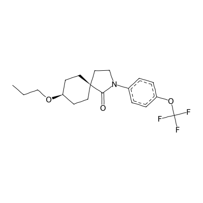 CCCO[C@H]1CC[C@]2(CCN(c3ccc(OC(F)(F)F)cc3)C2=O)CC1